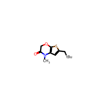 CN1C(=O)COc2sc(CC(C)(C)C)cc21